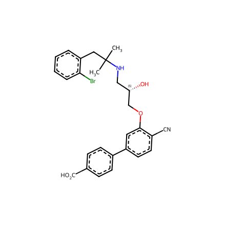 CC(C)(Cc1ccccc1Br)NC[C@H](O)COc1cc(-c2ccc(C(=O)O)cc2)ccc1C#N